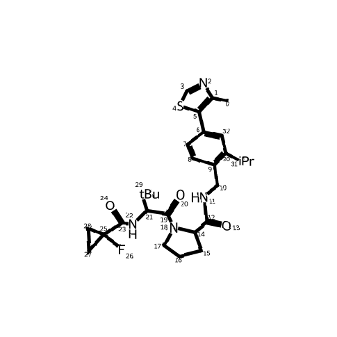 Cc1ncsc1-c1ccc(CNC(=O)C2CCCN2C(=O)C(NC(=O)C2(F)CC2)C(C)(C)C)c(C(C)C)c1